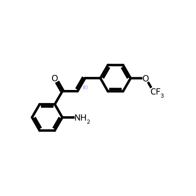 Nc1ccccc1C(=O)/C=C/c1ccc(OC(F)(F)F)cc1